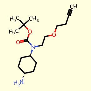 C#CCCOCCN(C(=O)OC(C)(C)C)[C@H]1CC[C@H](N)CC1